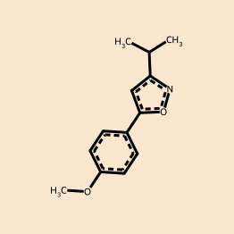 COc1ccc(-c2cc(C(C)C)no2)cc1